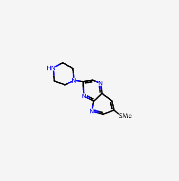 CSc1cnc2nc(N3CCNCC3)cnc2c1